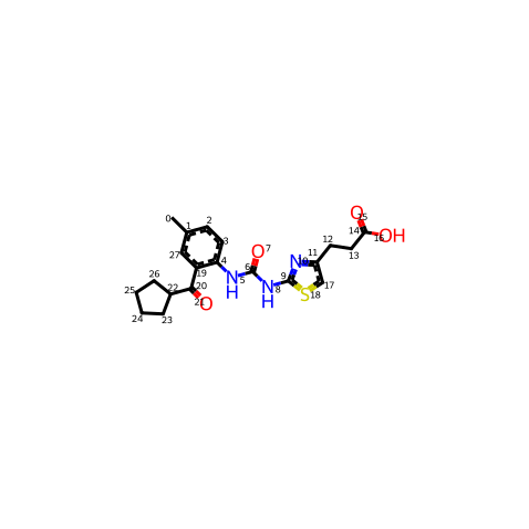 Cc1ccc(NC(=O)Nc2nc(CCC(=O)O)cs2)c(C(=O)C2CCCC2)c1